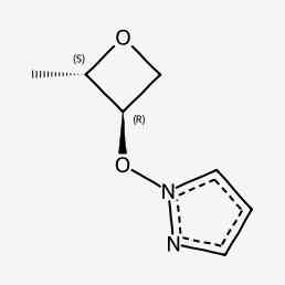 C[C@@H]1OC[C@H]1On1cccn1